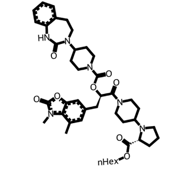 CCCCCCOC(=O)[C@H]1CCCN1C1CCN(C(=O)[C@@H](Cc2cc(C)c3c(c2)oc(=O)n3C)OC(=O)N2CCC(N3CCc4ccccc4NC3=O)CC2)CC1